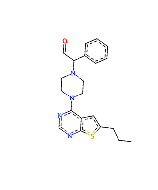 CCCc1cc2c(N3CCN(C(C=O)c4ccccc4)CC3)ncnc2s1